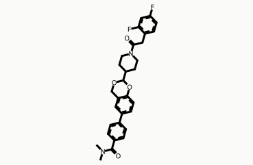 CN(C)C(=O)c1ccc(-c2ccc3c(c2)COC(C2CCN(C(=O)Cc4ccc(F)cc4F)CC2)O3)cc1